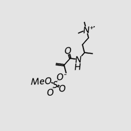 C=C(C)C(=O)NC(C)CC[N+](C)(C)C.COS(=O)(=O)[O-]